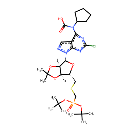 CC(C)(C)OP(=O)(CSC[C@H]1O[C@@H](n2ncc3c(N(C(=O)O)C4CCCC4)nc(Cl)nc32)[C@@H]2OC(C)(C)O[C@@H]21)OC(C)(C)C